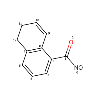 O=NC(=O)c1cccc2c1C=CCC2